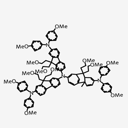 COCCC1(CCOC)c2cc(N(C3=CC4C=C(C=C3)C3(C)C=CC(N(c5ccc(OC)cc5)c5ccc(OC)cc5)=CC3C4(CCOC)CCOC)c3ccc4c(c3)C(CCOC)(CCOC)c3cc(N(c5ccc(OC)cc5)c5ccc(OC)cc5)ccc3-4)ccc2-c2ccc(N(c3ccc(OC)cc3)c3ccc(OC)cc3)cc21